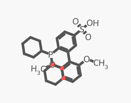 COc1cccc(OC)c1-c1cc(S(=O)(=O)O)ccc1P(C1CCCCC1)C1CCCCC1